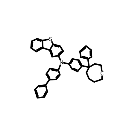 c1ccc(-c2ccc(N(c3ccc(C4(c5ccccc5)CCCCCCC4)cc3)c3ccc4sc5ccccc5c4c3)cc2)cc1